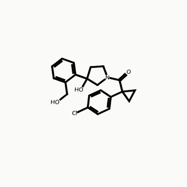 O=C(N1CCC(O)(c2ccccc2CO)C1)C1(c2ccc(Cl)cc2)CC1